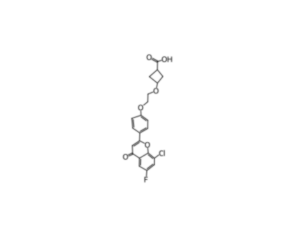 O=C(O)C1CC(OCCOc2ccc(-c3cc(=O)c4cc(F)cc(Cl)c4o3)cc2)C1